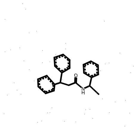 CC(NC(=O)CC(c1ccccc1)c1ccccc1)c1ccccc1